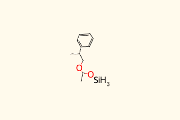 CC(O[SiH3])OCC(C)c1ccccc1